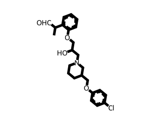 CC(C=O)c1ccccc1OCC(O)CN1CCCC(COc2ccc(Cl)cc2)C1